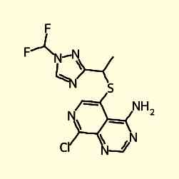 CC(Sc1cnc(Cl)c2ncnc(N)c12)c1ncn(C(F)F)n1